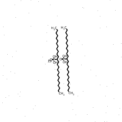 CCCCCCCCCCCCCC(CCCCCCCCCCCC)P(=O)(O)O.CCCCCCCCCCCCCC(CCCCCCCCCCCC)P(=O)(O)O.[Pb]